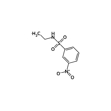 [CH2]CNS(=O)(=O)c1cccc([N+](=O)[O-])c1